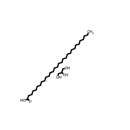 CCCCCCCCCCCCCCCCCCCCCCCCCCCCCC(=O)O.OCC(O)CO